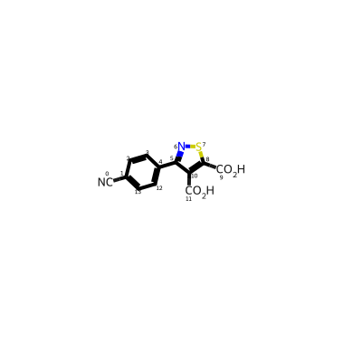 N#Cc1ccc(-c2nsc(C(=O)O)c2C(=O)O)cc1